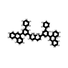 c1ccc(-c2cc(-c3ccc4ccc(-c5cc(-c6ccccc6)cc(-c6cc7ccccc7c7ccccc67)c5)nc4n3)cc(-c3cc4ccccc4c4ccccc34)c2)cc1